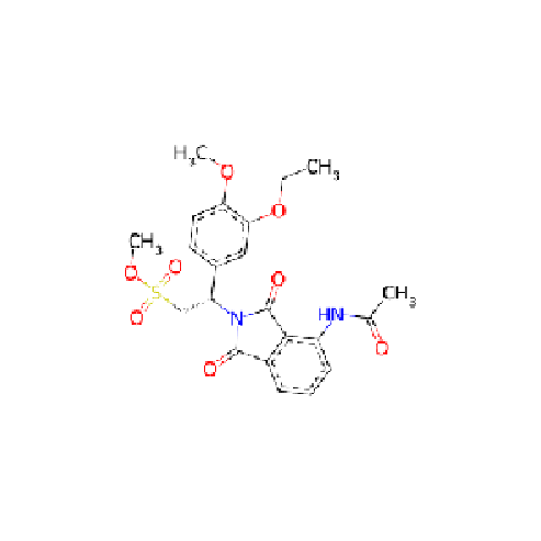 CCOc1cc([C@@H](CS(=O)(=O)OC)N2C(=O)c3cccc(NC(C)=O)c3C2=O)ccc1OC